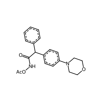 CC(=O)ONC(=O)C(c1ccccc1)c1ccc(N2CCOCC2)cc1